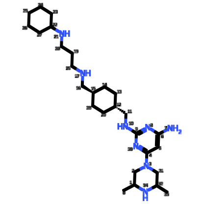 CC1CN(c2cc(N)nc(NC[C@H]3CC[C@H](CNCCCNC4CCCCC4)CC3)n2)CC(C)N1